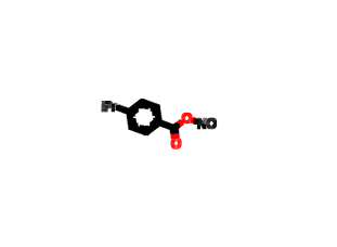 CC(C)c1ccc(C(=O)ON=O)cc1